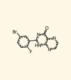 O=c1nc(-c2cc(Br)ccc2F)[nH]c2nccnc12